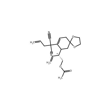 C=CCC(C#N)(C#N)C1=CCC2(CC1[C@@H](C=C)COC(C)=O)OCCO2